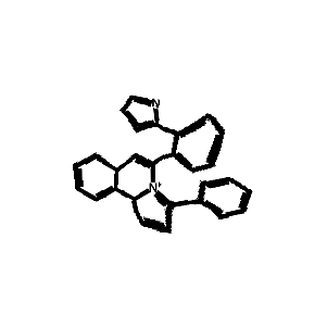 C1=CC=NC=1c1ccccc1C1=CC2CC=CC=C2C2C=CC(c3ccccc3)=[N+]12